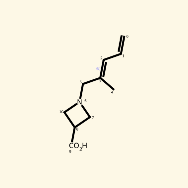 C=C/C=C(\C)CN1CC(C(=O)O)C1